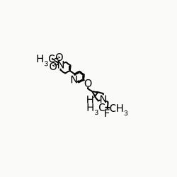 CC(C)(F)CN1CC2C(COc3ccc(C4=CCN(S(C)(=O)=O)CC4)nc3)[C@@H]2C1